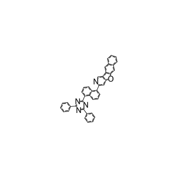 c1ccc(-c2nc(-c3ccccc3)nc(-c3cccc4c(-c5cc6oc7cc8ccccc8cc7c6cn5)cccc34)n2)cc1